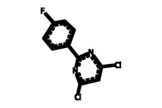 Fc1ccc(-c2nc(Cl)cc(Cl)n2)cc1